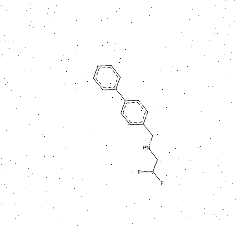 FC(F)CNCc1[c]cc(-c2ccccc2)cc1